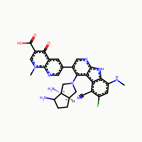 CNc1cc(F)c(C#N)c2c1[nH]c1ncc(-c3cnc4c(c3)c(=O)c(C(=O)O)cn4C)c(N3C[C@H]4CCC(N)[C@@]4(N)C3)c12